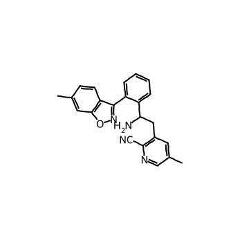 Cc1cnc(C#N)c(CC(N)c2ccccc2-c2noc3cc(C)ccc23)c1